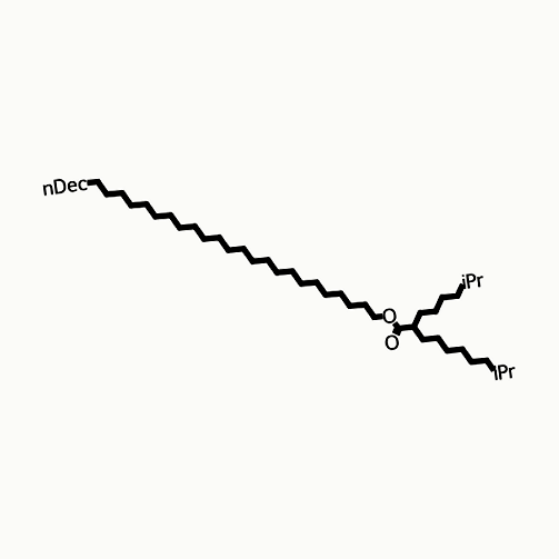 CCCCCCCCCCCCCCCCCCCCCCCCCCCCCCCCCCOC(=O)C(CCCCCCC(C)C)CCCCC(C)C